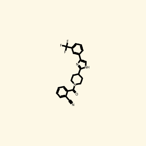 N#Cc1ccccc1C(=O)N1CCC(c2nc(-c3cccc(C(F)(F)F)c3)c[nH]2)CC1